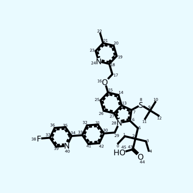 CCC(CC)(Cc1c(SC(C)(C)C)c2cc(OCc3ccc(C)cn3)ccc2n1Cc1ccc(-c2ccc(F)cn2)cc1)C(=O)O